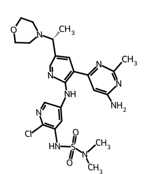 Cc1nc(N)cc(-c2cc([C@@H](C)N3CCOCC3)cnc2Nc2cnc(Cl)c(NS(=O)(=O)N(C)C)c2)n1